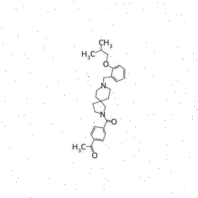 CC(=O)c1ccc(C(=O)N2CCC3(CCN(Cc4ccccc4OCC(C)C)CC3)C2)cc1